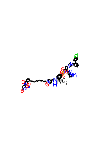 CC1(C)CCC(CN2CCN(c3ccc(C(=O)NS(=O)(=O)c4ccc(NCC5CCN(C(=O)CCCCCCCCC#Cc6cccc7c6C(=O)N(C6CCC(=O)NC6=O)C7=O)CC5)c([N+](=O)[O-])c4)c(Oc4cnc5[nH]ccc5c4)c3)CC2)=C(c2ccc(Cl)cc2)C1